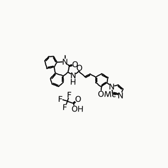 COc1cc(/C=C/C(=O)NC2C(=O)N(C)c3ccccc3-c3ccccc32)ccc1-n1ccnc1.O=C(O)C(F)(F)F